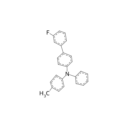 Cc1ccc(N(c2ccccc2)c2ccc(-c3cccc(F)c3)cc2)cc1